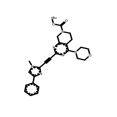 Cn1cc(-c2ccccc2)nc1C#Cc1nc2c(c(N3CCOCC3)n1)CCN(C(=O)OC(C)(C)C)C2